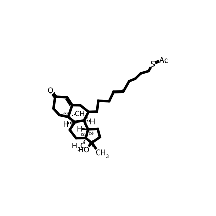 CC(=O)SCCCCCCCCCC1CC2=CC(=O)CC[C@]2(C)[C@@H]2CC[C@@]3(C)[C@@H](CCC3(C)O)[C@H]12